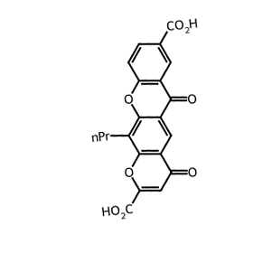 CCCc1c2oc(C(=O)O)cc(=O)c2cc2c(=O)c3cc(C(=O)O)ccc3oc12